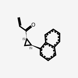 C=CC(=O)[C@H]1C[C@@H]1c1cccc2ccccc12